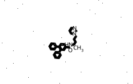 CC(CCCN1C=NC=CC1)NC(=O)c1ccc(-c2ccccc2)c(-c2ccccc2)c1